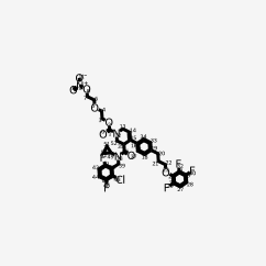 O=C(OCCOCCO[N+](=O)[O-])N1CC=C(c2ccc(CCCOc3c(F)ccc(F)c3F)cc2)C(C(=O)N(Cc2c(F)ccc(F)c2Cl)C2CC2)C1